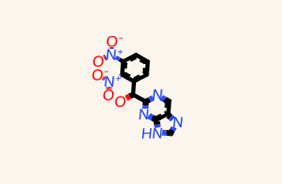 O=C(c1ncc2nc[nH]c2n1)c1cccc([N+](=O)[O-])c1[N+](=O)[O-]